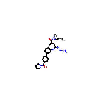 CCCN(CCN=O)C(=O)C1=Cc2ccc(-c3ccc(C(=O)N4CCCC4)cc3)cc2N=C(N=NN)C1